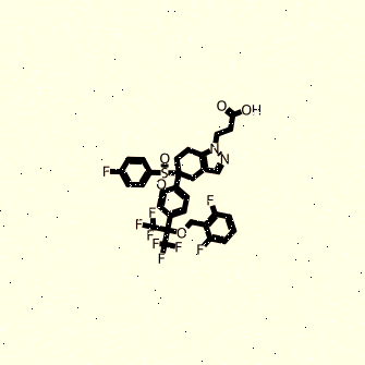 O=C(O)CCn1ncc2c1CCC(c1ccc(C(OCc3c(F)cccc3F)(C(F)(F)F)C(F)(F)F)cc1)(S(=O)(=O)c1ccc(F)cc1)C2